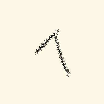 [CH2]CCC(CCCCCCCCCCCCCC)CCCCCCCCCCCCCCCCCCCCCCCC